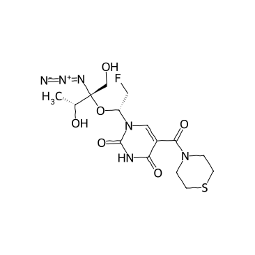 C[C@@H](O)[C@](CO)(N=[N+]=[N-])O[C@H](CF)n1cc(C(=O)N2CCSCC2)c(=O)[nH]c1=O